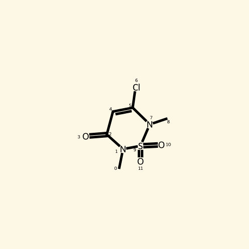 CN1C(=O)C=C(Cl)N(C)S1(=O)=O